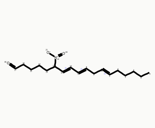 CCCCC/C=C/C/C=C/C=C/C(CCCC[C]=O)[N+](=O)[O-]